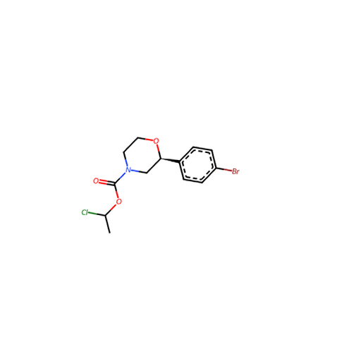 CC(Cl)OC(=O)N1CCO[C@@H](c2ccc(Br)cc2)C1